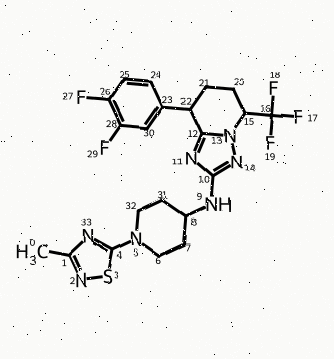 Cc1nsc(N2CCC(Nc3nc4n(n3)C(C(F)(F)F)CCC4c3ccc(F)c(F)c3)CC2)n1